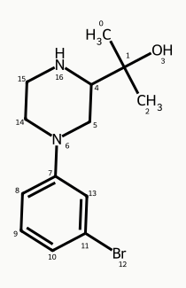 CC(C)(O)C1CN(c2cccc(Br)c2)CCN1